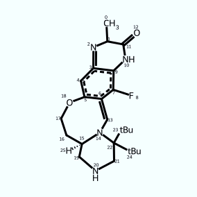 CC1N=c2cc3c(c(F)c2NC1=O)=CN1[C@H](CCO3)CNCC1(C(C)(C)C)C(C)(C)C